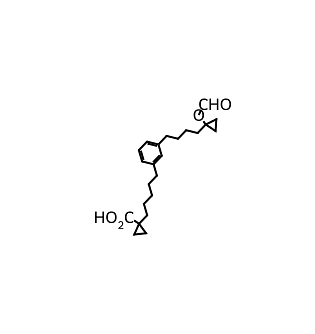 O=COC1(CCCCc2cccc(CCCCCC3(C(=O)O)CC3)c2)CC1